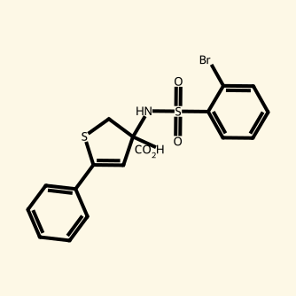 O=C(O)C1(NS(=O)(=O)c2ccccc2Br)C=C(c2ccccc2)SC1